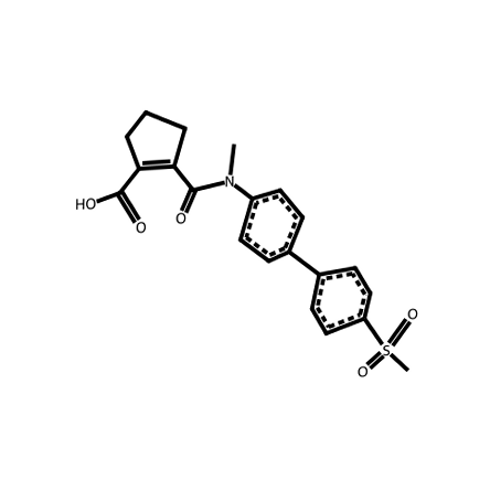 CN(C(=O)C1=C(C(=O)O)CCC1)c1ccc(-c2ccc(S(C)(=O)=O)cc2)cc1